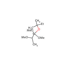 CCC(C)(C)O[Si](OC)(OC)C(C)OC